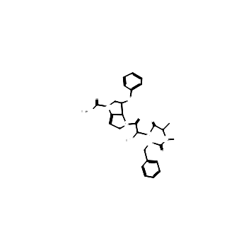 CC(C)C(NC(=O)C(C)N(C)C(=O)OCc1ccccc1)C(=O)N1CC=C2C1C(Oc1ccccc1)CN2C(=O)OC(C)(C)C